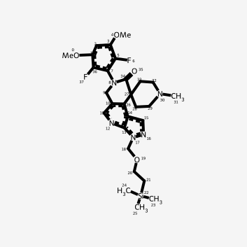 COc1cc(OC)c(F)c(N2Cc3cnc4c(cnn4COCC[Si](C)(C)C)c3C3(CCN(C)CC3)C2=O)c1F